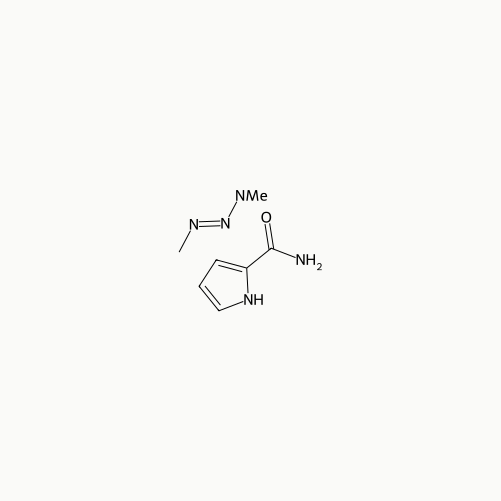 CN=NNC.NC(=O)c1ccc[nH]1